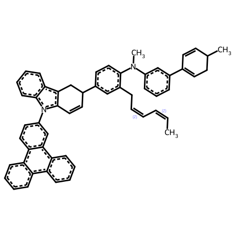 C/C=C\C=C/Cc1cc(C2C=Cc3c(c4ccccc4n3-c3ccc4c5ccccc5c5ccccc5c4c3)C2)ccc1N(C)c1cccc(C2=CCC(C)C=C2)c1